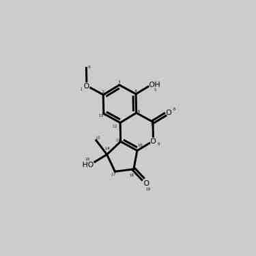 COc1cc(O)c2c(=O)oc3c(c2c1)C(C)(O)CC3=O